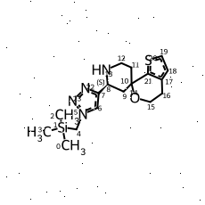 C[Si](C)(C)Cn1cc([C@@H]2CC3(CCN2)OCCc2ccsc23)nn1